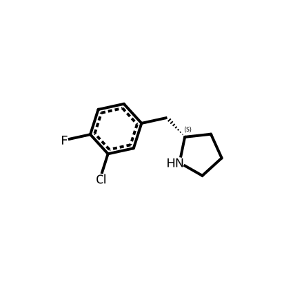 Fc1ccc(C[C@@H]2CCCN2)cc1Cl